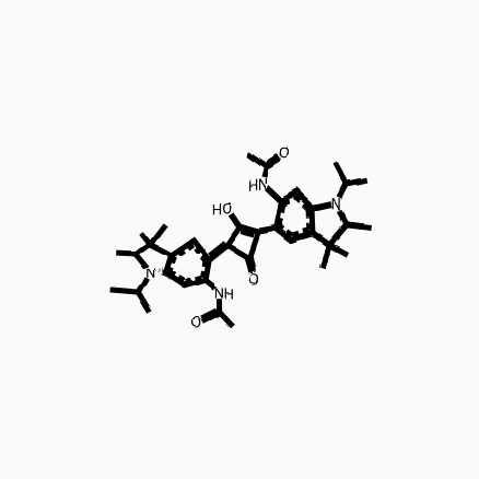 CC(=O)Nc1cc2c(cc1C1=C(O)/C(=c3\cc4c(cc3NC(C)=O)=[N+](C(C)C)C(C)C4(C)C)C1=O)C(C)(C)C(C)N2C(C)C